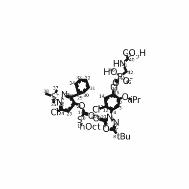 CC(C)Oc1cc(-n2nc(C(C)(C)C)oc2=O)c(Cl)cc1Cl.CCCCCCCCSC(=O)Oc1cc(Cl)nnc1-c1ccccc1.C[S+](C)C.O=C(O)CNCP(=O)([O-])O